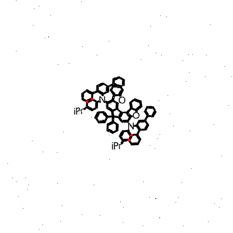 CC(C)c1ccc(N(c2cc(-c3ccccc3)ccc2-c2ccccc2)c2cc3c(c4c2oc2ccccc24)-c2c(cc(N(c4ccc(C(C)C)cc4)c4cc(-c5ccccc5)ccc4-c4ccccc4)c4c2oc2ccccc24)C3(c2ccccc2)c2ccccc2)cc1